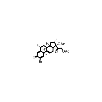 CC(=O)OCC(=O)[C@]1(OC(C)=O)[C@@H](C)C[C@H]2[C@@H]3C[C@@H](F)C4=CC(=O)C(Br)=C[C@]4(C)C3=CC[C@@]21C